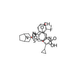 COc1cc(C(=O)O)cc2sc(N3C4CCC3CC(OCc3c(-c5c(F)cccc5Cl)noc3C3CC3)C4)nc12